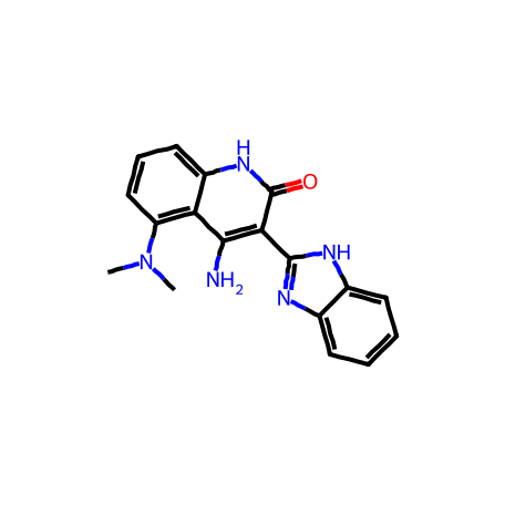 CN(C)c1cccc2[nH]c(=O)c(-c3nc4ccccc4[nH]3)c(N)c12